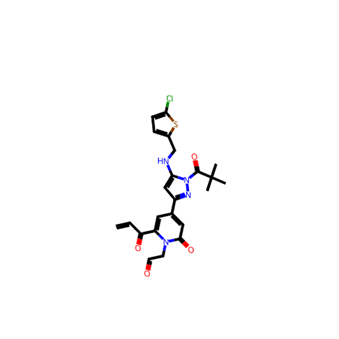 C=CC(=O)c1cc(-c2cc(NCc3ccc(Cl)s3)n(C(=O)C(C)(C)C)n2)cc(=O)n1CC=O